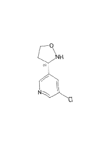 Clc1cncc([C@@H]2CCON2)c1